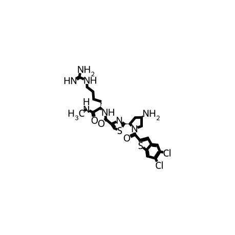 CNC(=O)[C@H](CCCCNC(=N)N)NC(=O)c1csc([C@@H]2C[C@@H](N)CN2C(=O)c2cc3cc(Cl)c(Cl)cc3s2)n1